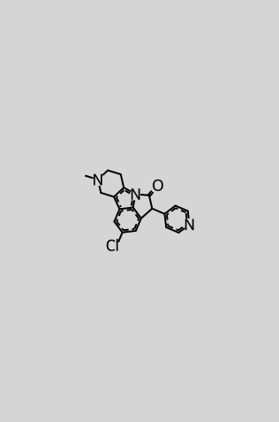 CN1CCc2c(c3cc(Cl)cc4c3n2C(=O)C4c2ccncc2)C1